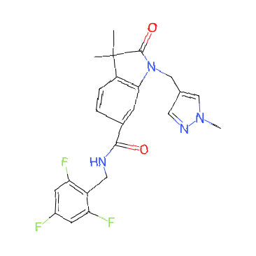 Cn1cc(CN2C(=O)C(C)(C)c3ccc(C(=O)NCc4c(F)cc(F)cc4F)cc32)cn1